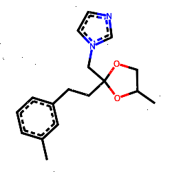 Cc1cccc(CCC2(Cn3ccnc3)OCC(C)O2)c1